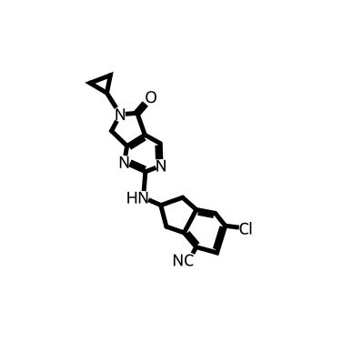 N#Cc1cc(Cl)cc2c1CC(Nc1ncc3c(n1)CN(C1CC1)C3=O)C2